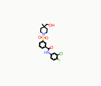 CC1(CO)CCN(S(=O)(=O)c2cccc(C(=O)Nc3ccc(F)c(Cl)c3)c2)CC1